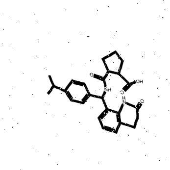 CC(C)c1ccc(C(NC(=O)C2CCCC2C(=O)O)c2cccc3c2NC(=O)CC3)cc1